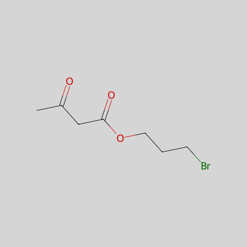 CC(=O)CC(=O)OCCCBr